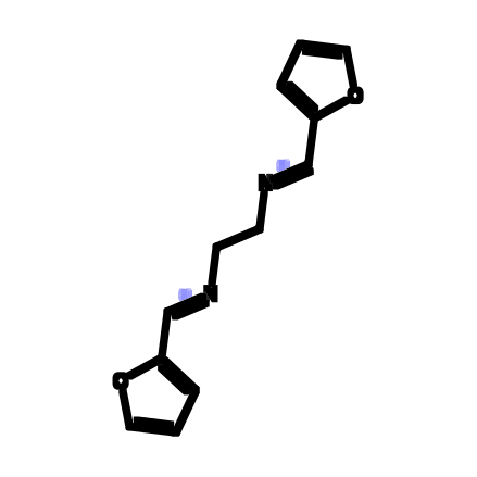 C(=N\CC/N=C/c1ccco1)/c1ccco1